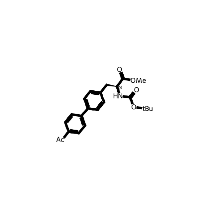 COC(=O)[C@H](Cc1ccc(-c2ccc(C(C)=O)cc2)cc1)NC(=O)OC(C)(C)C